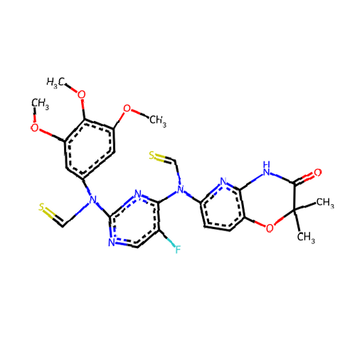 COc1cc(N(C=S)c2ncc(F)c(N(C=S)c3ccc4c(n3)NC(=O)C(C)(C)O4)n2)cc(OC)c1OC